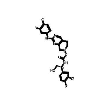 O=C(N[C@H](CO)c1ccc(F)c(Cl)c1)ON1CCc2cnc(Nc3ccc(Cl)c(F)c3)nc2C1